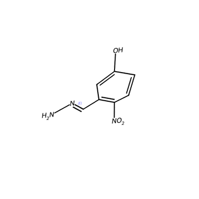 N/N=C/c1cc(O)ccc1[N+](=O)[O-]